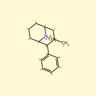 CC1CC2CCCC(C1c1ccccc1)N2C